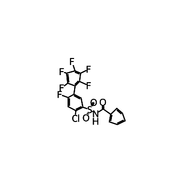 O=C(NS(=O)(=O)c1cc(-c2c(F)c(F)c(F)c(F)c2F)c(F)cc1Cl)c1ccccc1